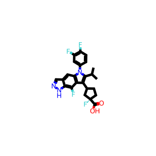 CC(C)c1c(C2CC[C@@](F)(C(=O)O)C2)c2c(F)c3[nH]ncc3cc2n1-c1ccc(F)c(F)c1